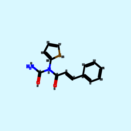 NC(=O)N(C(=O)C=Cc1ccccc1)c1cccs1